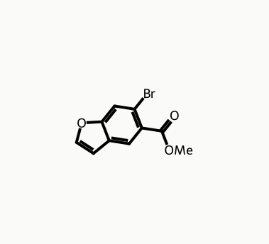 COC(=O)c1cc2ccoc2cc1Br